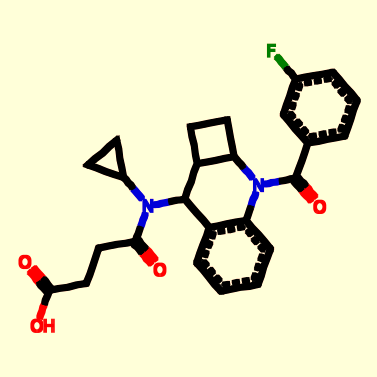 O=C(O)CCC(=O)N(C1CC1)C1c2ccccc2N(C(=O)c2cccc(F)c2)C2CCC21